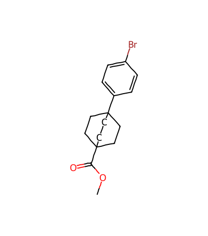 COC(=O)C12CCC(c3ccc(Br)cc3)(CC1)CC2